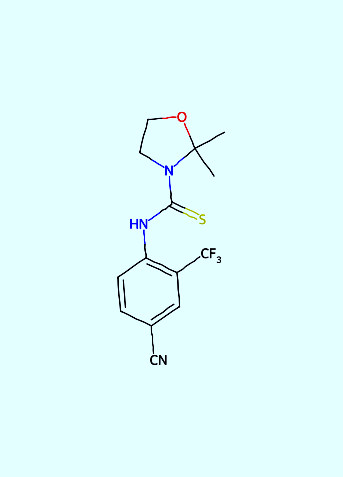 CC1(C)OCCN1C(=S)Nc1ccc(C#N)cc1C(F)(F)F